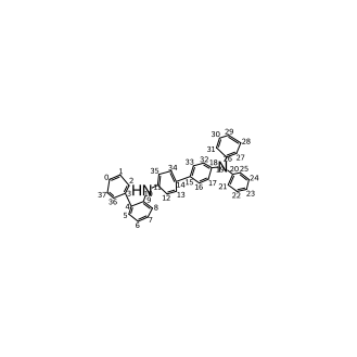 c1ccc(-c2ccccc2Nc2ccc(-c3ccc(N(c4ccccc4)c4ccccc4)cc3)cc2)cc1